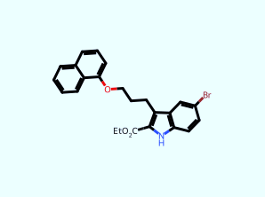 CCOC(=O)c1[nH]c2ccc(Br)cc2c1CCCOc1cccc2ccccc12